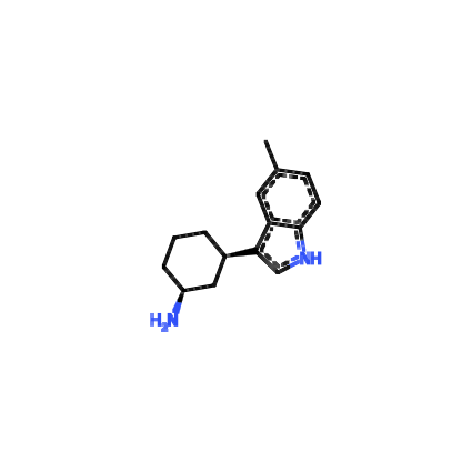 Cc1ccc2[nH]cc([C@@H]3CCC[C@H](N)C3)c2c1